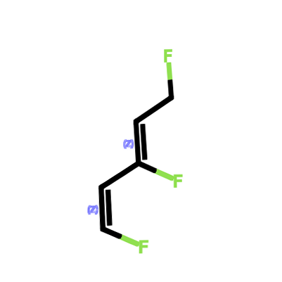 F/C=C\C(F)=C\CF